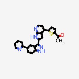 CC(=O)c1ccc(-c2ccnc3[nH]c(-c4n[nH]c5ccc(-c6ccccn6)cc45)cc23)s1